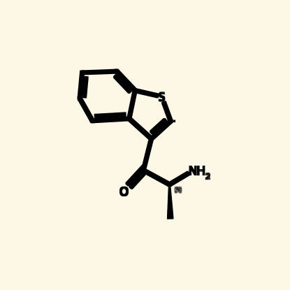 C[C@H](N)C(=O)c1[c]sc2ccccc12